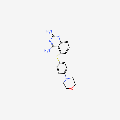 Nc1nc(N)c2c(Sc3ccc(N4CCOCC4)cc3)cccc2n1